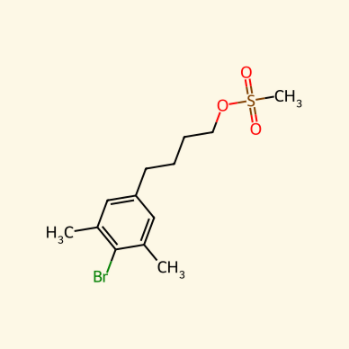 Cc1cc(CCCCOS(C)(=O)=O)cc(C)c1Br